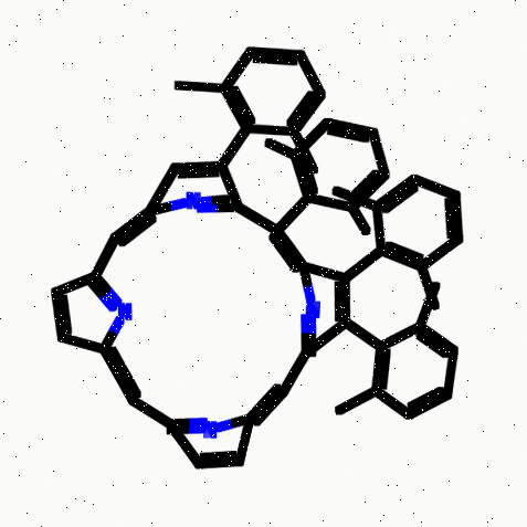 Cc1cccc(C)c1C1=CC2=CC3=NC(=CC4=NC(=CC5=NC(=C(c6c(C)cccc6C)C1=N2)C(c1c(C)cccc1C)=C5c1c(C)cccc1C)C=C4)C=C3